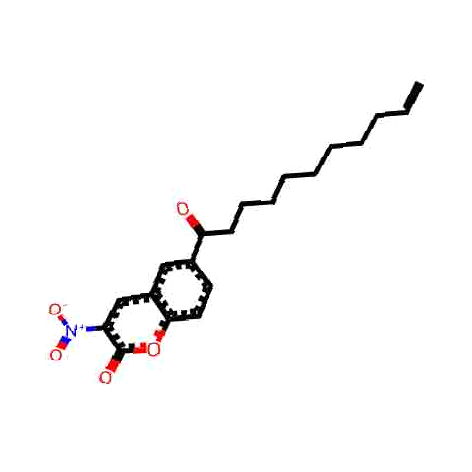 C=CCCCCCCCCC(=O)c1ccc2oc(=O)c([N+](=O)[O-])cc2c1